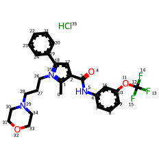 Cc1c(C(=O)Nc2cccc(OC(F)(F)F)c2)cc(-c2ccccc2)n1CCCN1CCOCC1.Cl